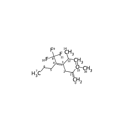 C=C(C/C(=C(\CCC)C(F)(F)F)C(C)C)OC